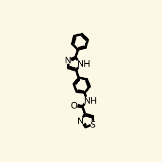 O=C(Nc1ccc(-c2cnc(-c3ccccc3)[nH]2)cc1)c1cscn1